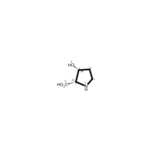 O=C(O)[C@H]1NCC[C@H]1O